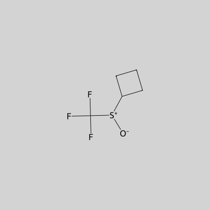 [O-][S+](C1CCC1)C(F)(F)F